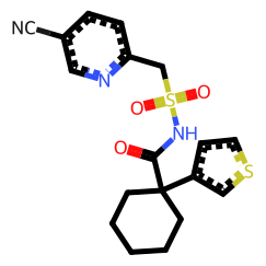 N#Cc1ccc(CS(=O)(=O)NC(=O)C2(c3ccsc3)CCCCC2)nc1